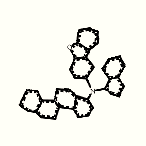 c1ccc2c(N(c3ccc4oc5ccccc5c4c3)c3cccc4c3ccc3c5ccccc5ccc43)cccc2c1